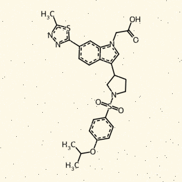 Cc1nnc(-c2ccc3c(C4CCN(S(=O)(=O)c5ccc(OC(C)C)cc5)C4)cn(CC(=O)O)c3c2)s1